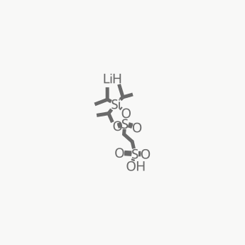 CC(C)[Si](OS(=O)(=O)CCS(=O)(=O)O)(C(C)C)C(C)C.[LiH]